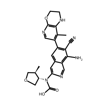 Cc1c(-c2cc3cc(N(C(=O)O)[C@@H]4COC[C@H]4C)ncc3c(N)c2C#N)cnc2c1NCCO2